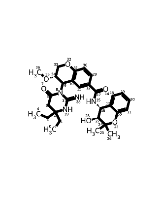 CCC1(CC)CC(=O)N(C2c3cc(C(=O)N[C@@H]4c5ccccc5OC(C)(C)[C@H]4O)ccc3OC[C@H]2OC)C(=N)N1